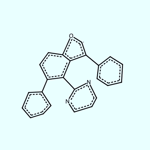 [c]1oc2ccc(-c3ccccc3)c(-c3ncccn3)c2c1-c1ccccc1